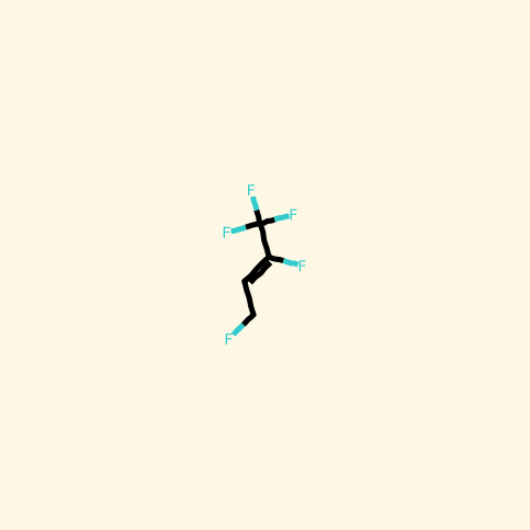 FC/C=C(\F)C(F)(F)F